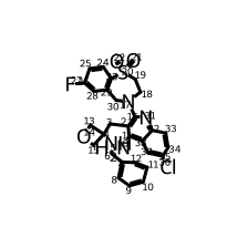 Nc1c(CC2(NCc3ccccc3)COC2)c(N2CCS(=O)(=O)c3ccc(F)cc3C2)nc2ccc(Cl)cc12